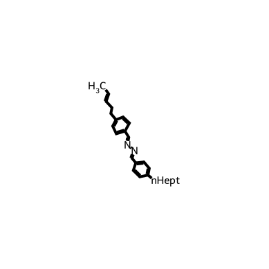 C/C=C/CCc1ccc(/C=N/N=C/c2ccc(CCCCCCC)cc2)cc1